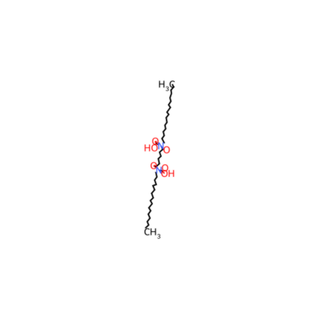 CCCCCCCCCCCCCCCCCCN(C(=O)O)C(=O)CCCCC(=O)N(CCCCCCCCCCCCCCCCCC)C(=O)O